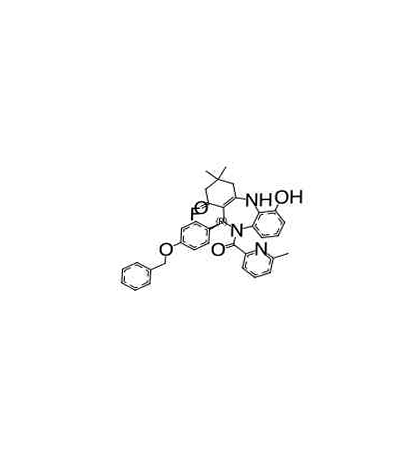 Cc1cccc(C(=O)N2c3cccc(O)c3NC3=C(C(=O)CC(C)(C)C3)[C@@H]2c2ccc(OCc3ccccc3)cc2F)n1